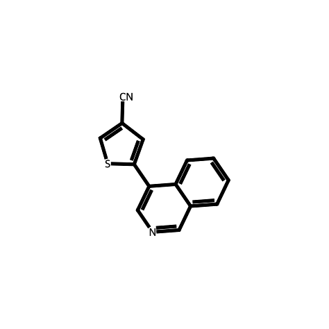 N#Cc1csc(-c2cncc3ccccc23)c1